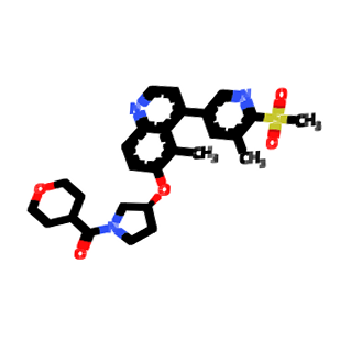 Cc1cc(-c2ccnc3ccc(O[C@H]4CCN(C(=O)C5CCOCC5)C4)c(C)c23)cnc1S(C)(=O)=O